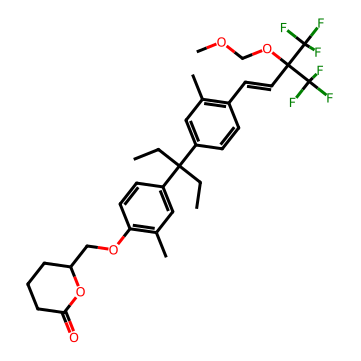 CCC(CC)(c1ccc(C=CC(OCOC)(C(F)(F)F)C(F)(F)F)c(C)c1)c1ccc(OCC2CCCC(=O)O2)c(C)c1